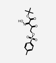 Cc1ccc(S(=O)(=O)OCC(=O)C(=NO)C(=O)OC(C)(C)C)cc1